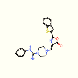 N=C(Nc1ccccc1)N1CCN(C=C2N=C(c3cc4ccccc4s3)OC2=O)CC1